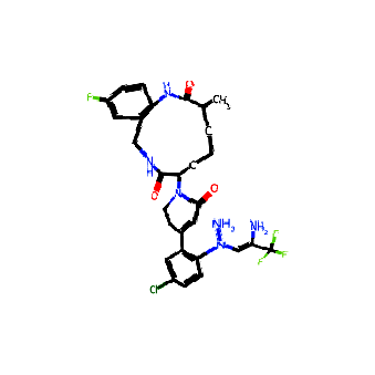 CC1CCCC(N2CCC(c3cc(Cl)ccc3N(N)/C=C(\N)C(F)(F)F)=CC2=O)C(=O)NCc2cc(F)ccc2NC1=O